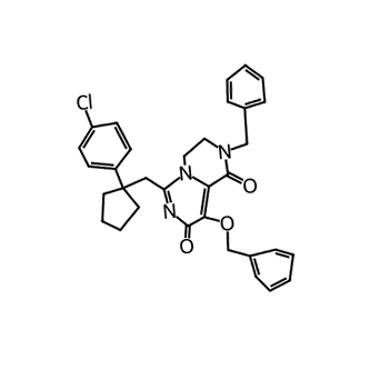 O=C1c2c(OCc3ccccc3)c(=O)nc(CC3(c4ccc(Cl)cc4)CCCC3)n2CCN1Cc1ccccc1